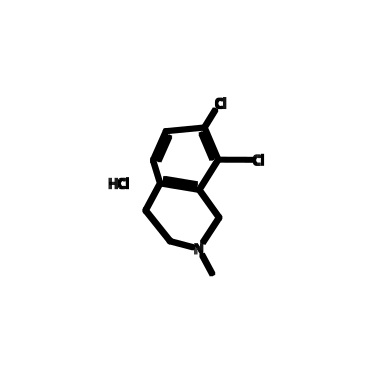 CN1CCc2ccc(Cl)c(Cl)c2C1.Cl